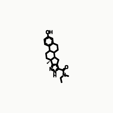 CCN(C)C(=O)c1[nH]nc2c1CC1C3CCc4cc(O)ccc4C3CC[C@]21C